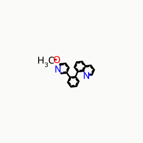 COc1ccc(-c2ccccc2-c2cccc3cccnc23)cn1